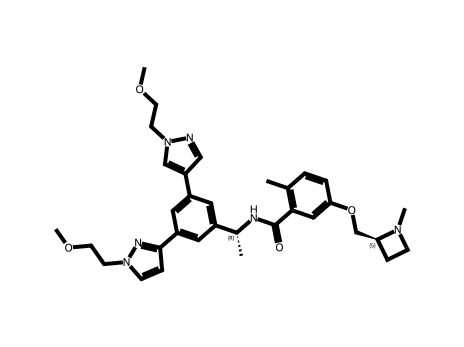 COCCn1cc(-c2cc(-c3ccn(CCOC)n3)cc([C@@H](C)NC(=O)c3cc(OC[C@@H]4CCN4C)ccc3C)c2)cn1